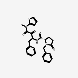 CN(C(=O)C(=O)C(Cc1ccccc1)NC(=O)[C@@H]1CCC(=O)N1Cc1ccccc1)c1cccs1